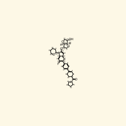 O=C(C1CC=C(c2ccc(-c3nc4cc(O[C@@H]5CO[C@H]6[C@@H]5OC[C@H]6O)n(C5CCCCO5)c4cc3F)cc2)CC1)N1CCCC1